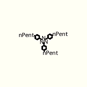 CCCCCc1ccc(-c2nc(-c3ccc(CCCCC)cc3)nc(-c3ccc(CCCCC)cc3)n2)cc1